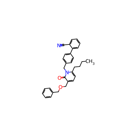 CCCCc1ccc(COCc2ccccc2)c(=O)n1Cc1ccc(-c2ccccc2C#N)cc1